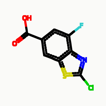 O=C(O)c1cc(F)c2nc(Cl)sc2c1